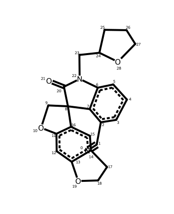 N#Cc1cccc2c1C1(COc3cc4c(cc31)CCO4)C(=O)N2CC1CCCO1